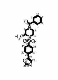 CC1CN(C(=O)c2ccccc2)CCN1S(=O)(=O)c1ccc(-c2cnco2)cc1